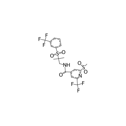 CC(C)(CNC(=O)c1cc(C(F)(F)F)nc(S(C)(=O)=O)c1)S(=O)(=O)c1cccc(C(F)(F)F)c1